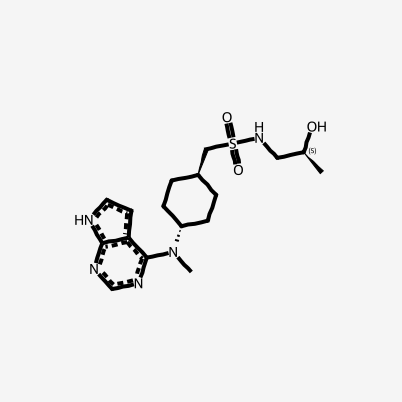 C[C@H](O)CNS(=O)(=O)C[C@H]1CC[C@H](N(C)c2ncnc3[nH]ccc23)CC1